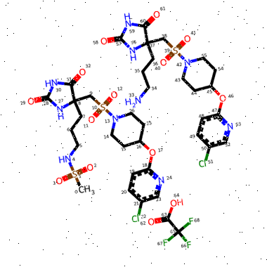 CS(=O)(=O)NCCCC1(CS(=O)(=O)N2CCC(Oc3ccc(Cl)cn3)CC2)NC(=O)NC1=O.NCCCC1(CS(=O)(=O)N2CCC(Oc3ccc(Cl)cn3)CC2)NC(=O)NC1=O.O=C(O)C(F)(F)F